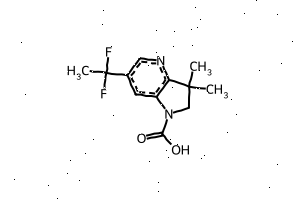 CC(F)(F)c1cnc2c(c1)N(C(=O)O)CC2(C)C